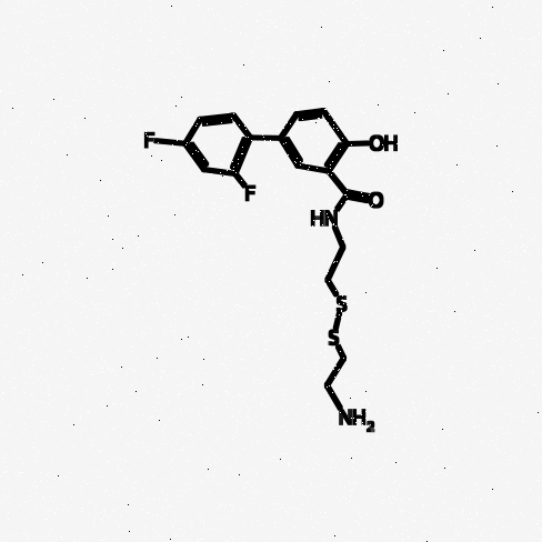 NCCSSCCNC(=O)c1cc(-c2ccc(F)cc2F)ccc1O